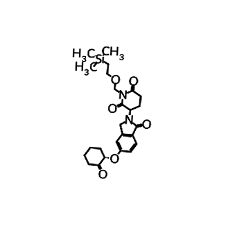 C[Si](C)(C)CCOCN1C(=O)CCC(N2Cc3cc(O[C@H]4CCCCC4=O)ccc3C2=O)C1=O